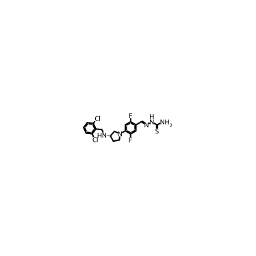 NC(=S)N/N=C/c1cc(F)c(N2CC[C@H](NCc3c(Cl)cccc3Cl)C2)cc1F